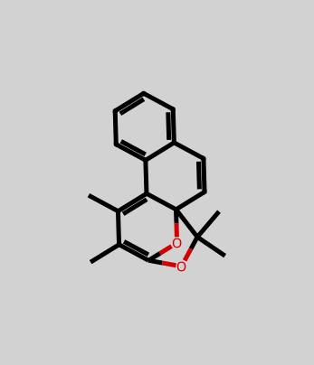 CC1=C2OC(C)(C)C3(C=Cc4ccccc4C3=C1C)O2